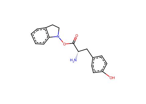 N[C@@H](Cc1ccc(O)cc1)C(=O)ON1CCc2ccccc21